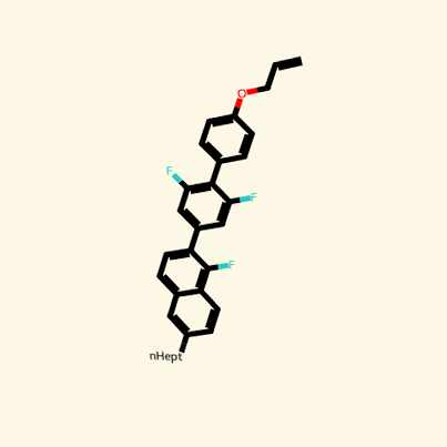 C=CCOc1ccc(-c2c(F)cc(-c3ccc4cc(CCCCCCC)ccc4c3F)cc2F)cc1